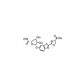 O=NC(=O)[C@@H]1C[C@H](O)[C@@H](O)[C@H](Oc2ccc3nc(C4=N[C@@H](C(=O)O)CS4)sc3c2)O1